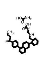 CCCC(F)c1ccc(-c2cccc3cc(-c4ccccc4CNC=NC(=O)O)ccc23)cc1.NC(=O)O